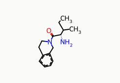 CCC(C)[C@H](N)C(=O)N1CCc2ccccc2C1